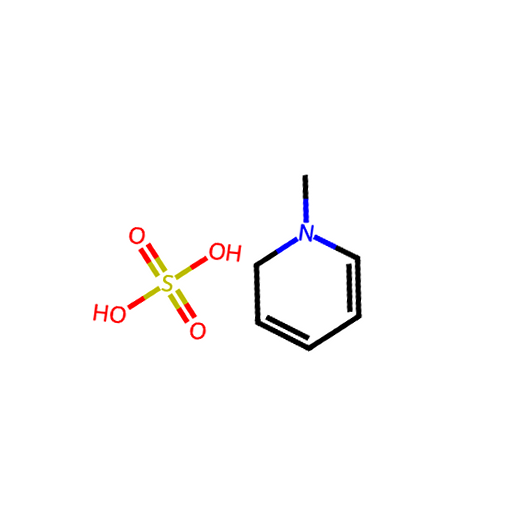 CN1C=CC=CC1.O=S(=O)(O)O